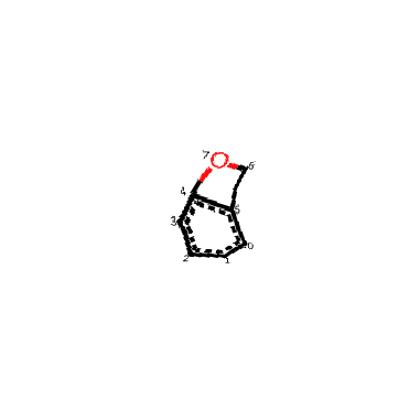 [c]1cccc2c1CO2